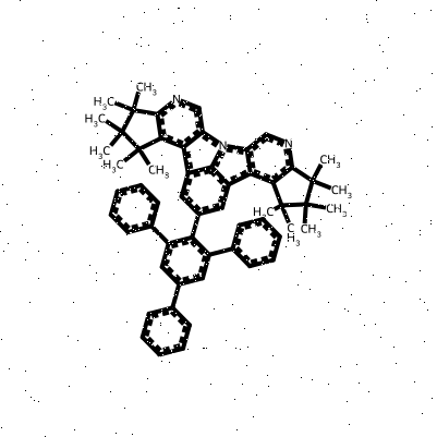 CC1(C)c2ncc3c(c2C(C)(C)C1(C)C)c1cc(-c2c(-c4ccccc4)cc(-c4ccccc4)cc2-c2ccccc2)cc2c4c5c(ncc4n3c12)C(C)(C)C(C)(C)C5(C)C